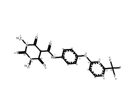 CN1C(=O)C(C(=O)Nc2ccc(Oc3ccnc(C(F)(F)F)n3)cc2)C(=O)N(C)C1=S